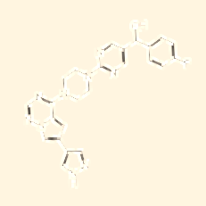 OC(c1ccc(F)cc1)c1cnc(N2CCN(c3ncnn4cc(-c5cn[nH]c5)cc34)CC2)nc1